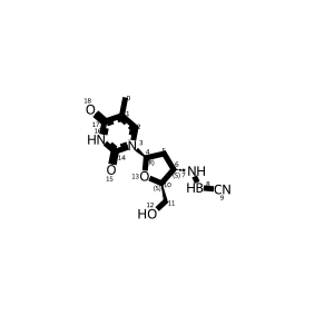 Cc1cn([C@H]2C[C@H](NBC#N)[C@@H](CO)O2)c(=O)[nH]c1=O